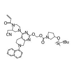 C=CC(=O)N1CCN(c2nc(OCOC(=O)N3CCC(O[Si](C)(C)C(C)(C)C)C3)nc3c2CCN(c2cccc4ccccc24)C3)CC1CC#N